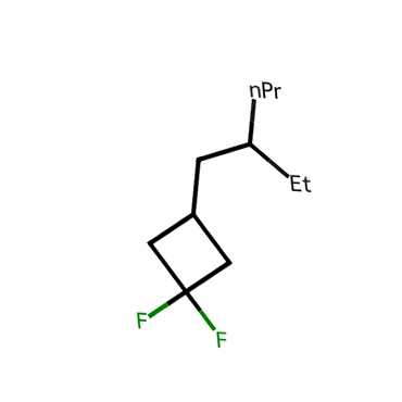 CCCC(CC)CC1CC(F)(F)C1